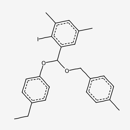 CCc1ccc(OC(OCc2ccc(C)cc2)c2cc(C)cc(C)c2I)cc1